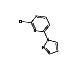 Clc1[c]ccc(-n2cccn2)n1